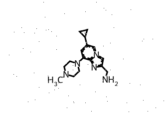 CN1CCN(c2cc(C3CC3)cn3cc(CN)nc23)CC1